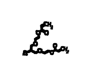 C=CC(=O)OCCOCC(CC)COCCOC(=O)C=C